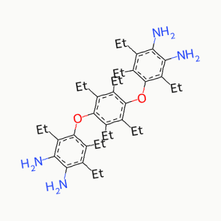 CCc1c(N)c(N)c(CC)c(Oc2c(CC)c(CC)c(Oc3c(CC)c(N)c(N)c(CC)c3CC)c(CC)c2CC)c1CC